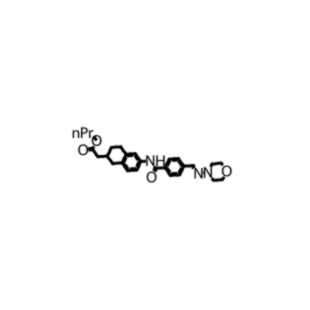 CCCOC(=O)CC1CCc2cc(NC(=O)c3ccc(C=NN4CCOCC4)cc3)ccc2C1